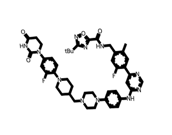 Cc1cc(-c2cc(Nc3ccc(N4CCN(CC5CCN(c6ccc(N7CCC(=O)NC7=O)cc6F)CC5)CC4)cc3)ncn2)c(F)cc1CNC(=O)c1nc(C(C)(C)C)no1